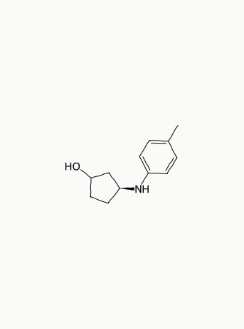 Cc1ccc(N[C@H]2CCC(O)C2)cc1